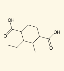 CCC1C(C(=O)O)CCC(C(=O)O)C1C